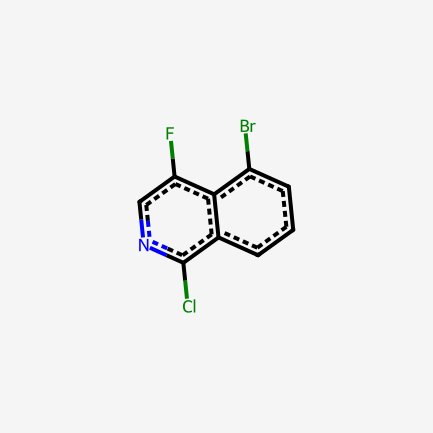 Fc1cnc(Cl)c2cccc(Br)c12